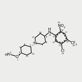 CCCO[C@H]1CC[C@H](N2CCC(Nc3cc(Cl)c(C(F)(F)F)cc3[N+](=O)[O-])CC2)CC1